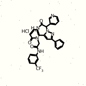 Cl.NC(=O)C(c1cccnc1)n1nc(-c2ccccc2)cc1-c1cccc(=O)n1CC(=O)Nc1cccc(C(F)(F)F)c1